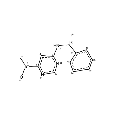 C[C@@H](Nc1cc([S+](C)[O-])ncn1)c1ccccc1